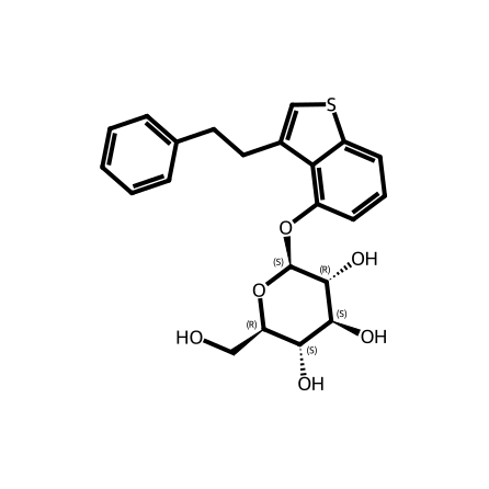 OC[C@H]1O[C@@H](Oc2cccc3scc(CCc4ccccc4)c23)[C@H](O)[C@@H](O)[C@@H]1O